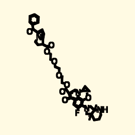 COc1c(N2C[C@@]3(C)CCCN[C@@]3(C)C2)c(F)cc2c(=O)c(C(=O)OCCOCCOCCOC(=O)C3CCn4c(C(=O)c5ccccc5)ccc43)cn(C3CC3)c12